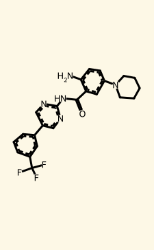 Nc1ccc(N2CCCCC2)cc1C(=O)Nc1ncc(-c2cccc(C(F)(F)F)c2)cn1